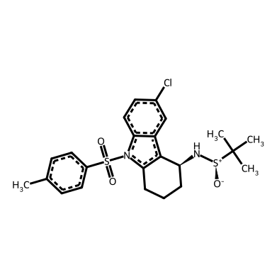 Cc1ccc(S(=O)(=O)n2c3c(c4cc(Cl)ccc42)[C@@H](N[S@+]([O-])C(C)(C)C)CCC3)cc1